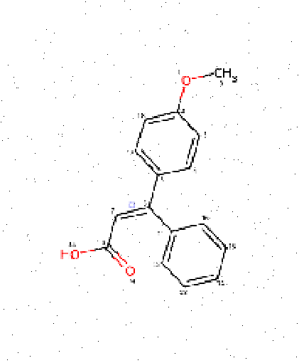 COc1ccc(/C(=C/C(=O)O)c2ccccc2)cc1